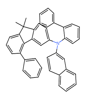 CC1(C)c2ccc(N(c3ccc4ccccc4c3)c3ccccc3-c3ccccc3)cc2-c2c(-c3ccccc3)cccc21